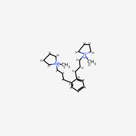 C[N+]1(CCCc2ccccc2CCC[N+]2(C)CCCC2)CCCC1